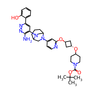 CC(C)(C)OC(=O)N1CCC(O[C@H]2C[C@H](Oc3cc(N4CC5CCCC4CN5c4cc(-c5ccccc5O)nnc4N)ccn3)C2)CC1